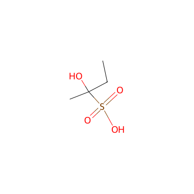 CCC(C)(O)S(=O)(=O)O